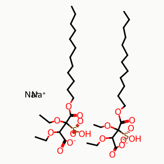 CCCCCCCCCCCCOC(=O)C(OCC)(C(OCC)C(=O)[O-])S(=O)(=O)O.CCCCCCCCCCCCOC(=O)C(OCC)(C(OCC)C(=O)[O-])S(=O)(=O)O.[Na+].[Na+]